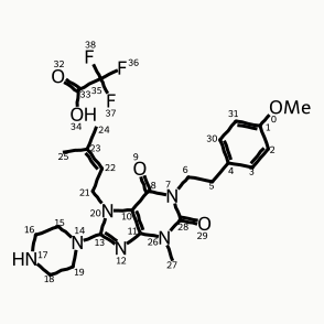 COc1ccc(CCn2c(=O)c3c(nc(N4CCNCC4)n3CC=C(C)C)n(C)c2=O)cc1.O=C(O)C(F)(F)F